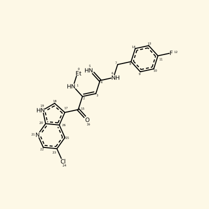 CCN/C(=C\C(=N)NCc1ccc(F)cc1)C(=O)c1c[nH]c2ncc(Cl)cc12